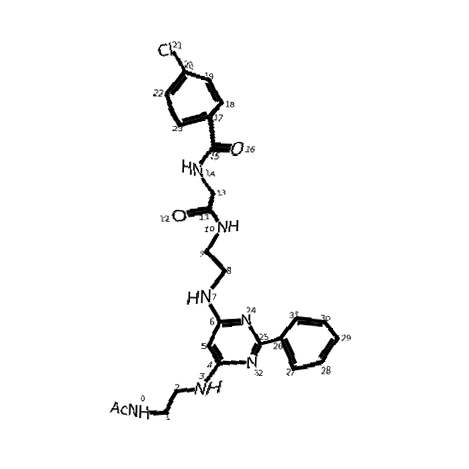 CC(=O)NCCNc1cc(NCCNC(=O)CNC(=O)c2ccc(Cl)cc2)nc(-c2ccccc2)n1